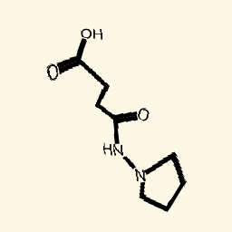 O=C(O)CCC(=O)NN1CCCC1